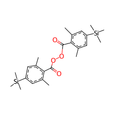 Cc1cc([Si](C)(C)C)cc(C)c1C(=O)OOC(=O)c1c(C)cc([Si](C)(C)C)cc1C